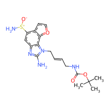 CC(C)(C)OC(=O)NC/C=C/Cn1c(N)nc2cc([S+](N)[O-])c3ccoc3c21